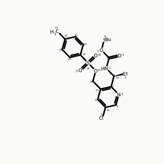 CC[C@H](NC(=O)OC(C)(C)C)c1ncc(Cl)cc1COS(=O)(=O)c1ccc(C)cc1